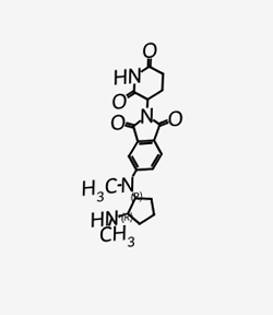 CN[C@@H]1CCC[C@H]1N(C)c1ccc2c(c1)C(=O)N(C1CCC(=O)NC1=O)C2=O